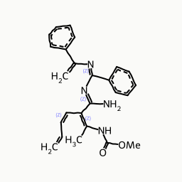 C=C\C=C/C(C(/N)=N/C(=N\C(=C)c1ccccc1)c1ccccc1)=C(\C)NC(=O)OC